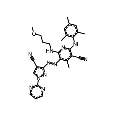 COCCCNc1nc(Nc2c(C)cc(C)cc2C)c(C#N)c(C)c1N=Nc1nn(-c2ncccn2)cc1C#N